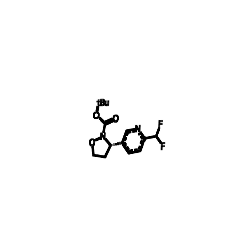 CC(C)(C)OC(=O)N1OCC[C@H]1c1ccc(C(F)F)nc1